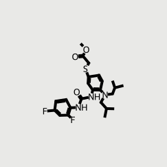 COC(=O)CSc1ccc(N(CC(C)C)CC(C)C)c(NC(=O)Nc2ccc(F)cc2F)c1